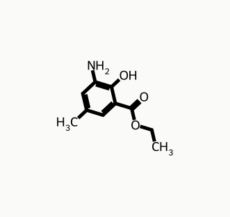 CCOC(=O)c1cc(C)cc(N)c1O